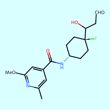 COc1cc(C(=O)N[C@H]2CC[C@@](F)(C(O)CC=O)CC2)cc(C)n1